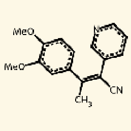 COc1ccc(C(C)=C(C#N)c2cccnc2)cc1OC